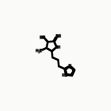 CC1C(CCCc2ncc[nH]2)NC(=N)C1O